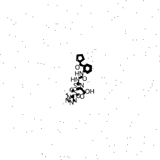 Cn1nnnc1S(=O)(=O)c1sc(NC(=O)Nc2ccccc2C(=O)C2CCCC2)nc1C(=O)O